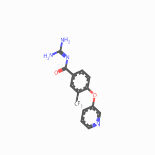 NC(N)=NC(=O)c1ccc(Oc2cccnc2)c(C(F)(F)F)c1